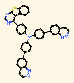 c1ccc2c(c1)sc1ncnc(-c3ccc(N(c4ccc(-c5ccc6ccnnc6c5)cc4)c4ccc(-c5ccc6ccnnc6c5)cc4)cc3)c12